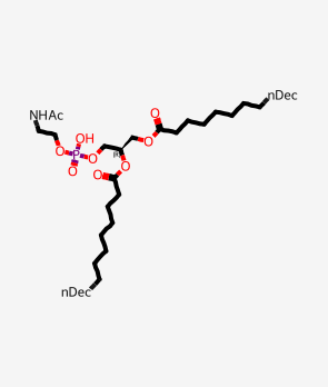 CCCCCCCCCCCCCCCCCC(=O)OC[C@H](COP(=O)(O)OCCNC(C)=O)OC(=O)CCCCCCCCCCCCCCCCC